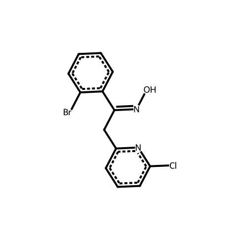 ON=C(Cc1cccc(Cl)n1)c1ccccc1Br